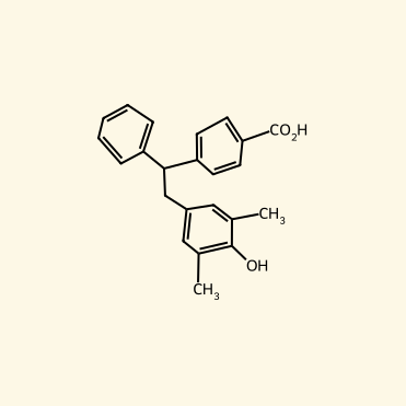 Cc1cc(CC(c2ccccc2)c2ccc(C(=O)O)cc2)cc(C)c1O